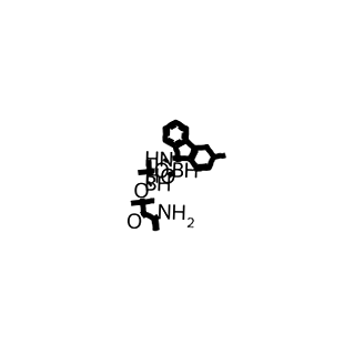 C=C(N)C(=O)C(C)(C)OBC(C)(C)ONC1(BO)C2=C(CC(C)C=C2)c2ccccc21